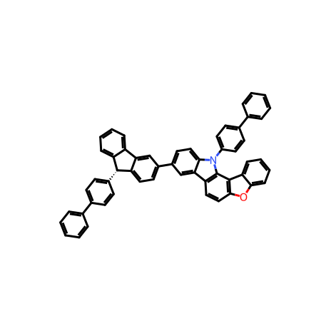 c1ccc(-c2ccc([C@@H]3c4ccccc4-c4cc(-c5ccc6c(c5)c5ccc7oc8ccccc8c7c5n6-c5ccc(-c6ccccc6)cc5)ccc43)cc2)cc1